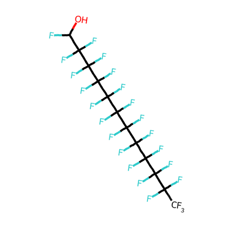 OC(F)C(F)(F)C(F)(F)C(F)(F)C(F)(F)C(F)(F)C(F)(F)C(F)(F)C(F)(F)C(F)(F)C(F)(F)C(F)(F)F